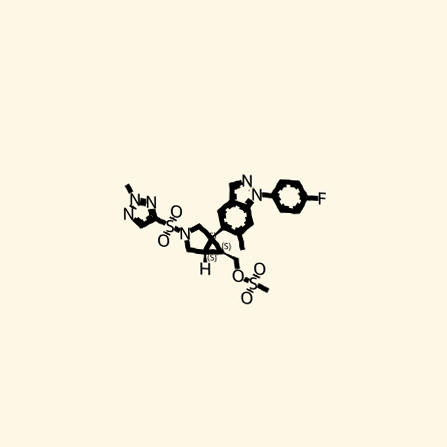 Cc1cc2c(cnn2-c2ccc(F)cc2)cc1[C@]12CN(S(=O)(=O)c3cnn(C)n3)C[C@H]1[C@@H]2COS(C)(=O)=O